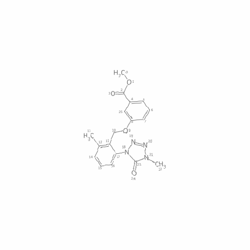 COC(=O)c1cccc(OCc2c(C)cccc2-n2nnn(C)c2=O)c1